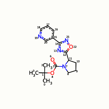 CC(C)(C)OC(=O)N1CCCC1c1nc(-c2cccnc2)no1